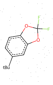 CC(C)(C)c1ccc2c(c1)OC(F)(F)O2